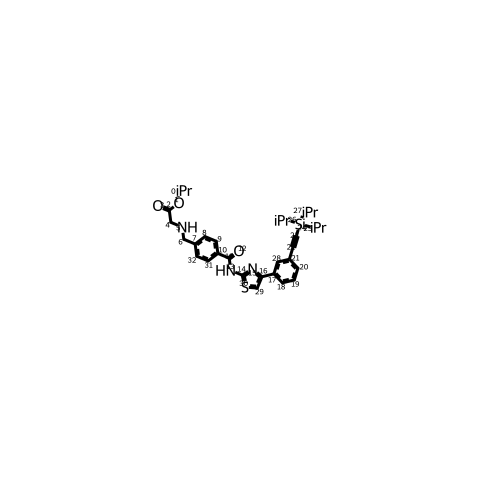 CC(C)OC(=O)CNCc1ccc(C(=O)Nc2nc(-c3cccc(C#C[Si](C(C)C)(C(C)C)C(C)C)c3)cs2)cc1